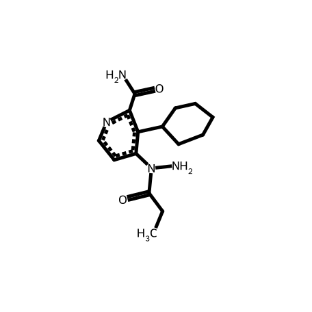 CCC(=O)N(N)c1ccnc(C(N)=O)c1C1CCCCC1